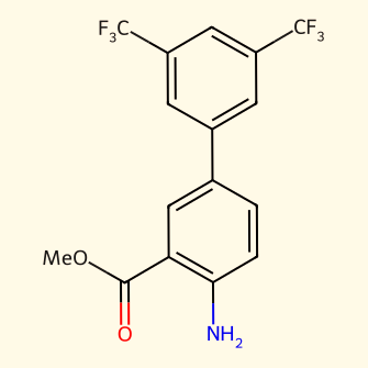 COC(=O)c1cc(-c2cc(C(F)(F)F)cc(C(F)(F)F)c2)ccc1N